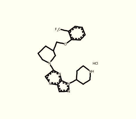 Cl.FC(F)(F)c1ccccc1OCC1CCCN(c2cnc3cnn(C4CCNCC4)c3n2)C1